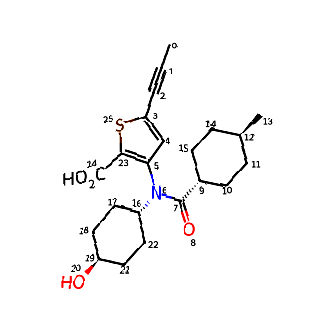 CC#Cc1cc(N(C(=O)[C@H]2CC[C@H](C)CC2)[C@H]2CC[C@H](O)CC2)c(C(=O)O)s1